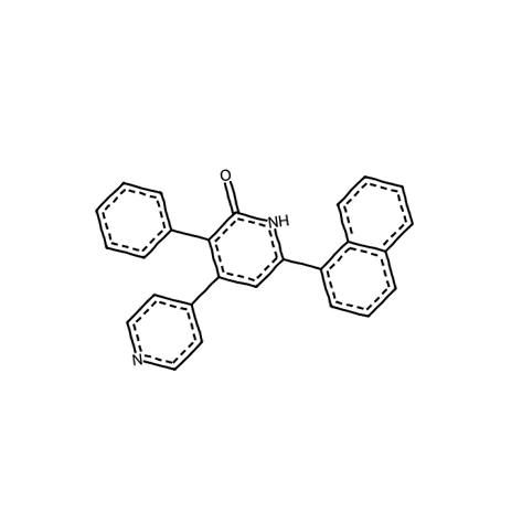 O=c1[nH]c(-c2cccc3ccccc23)cc(-c2ccncc2)c1-c1ccccc1